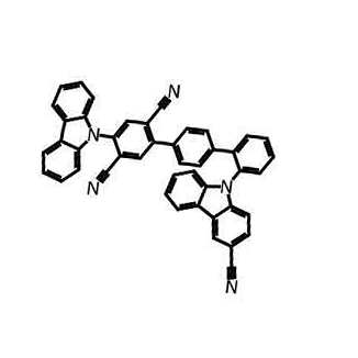 N#Cc1ccc2c(c1)c1ccccc1n2-c1ccccc1-c1ccc(-c2cc(C#N)c(-n3c4ccccc4c4ccccc43)cc2C#N)cc1